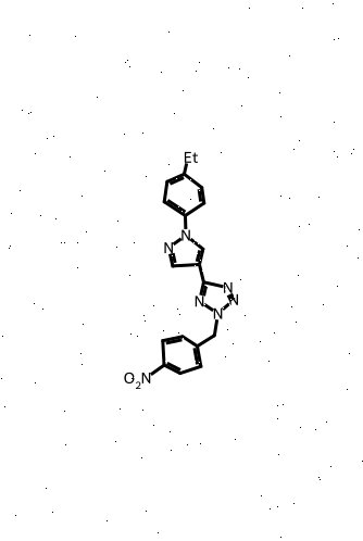 CCc1ccc(-n2cc(-c3nnn(Cc4ccc([N+](=O)[O-])cc4)n3)cn2)cc1